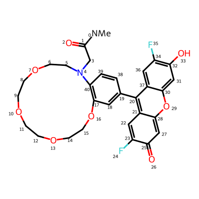 CNC(=O)CN1CCOCCOCCOCCOc2cc(-c3c4cc(F)c(=O)cc-4oc4cc(O)c(F)cc34)ccc21